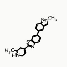 CC1CC(c2nc3ccc(-c4ccc5nn(C)cc5c4)cc3s2)=CCN1